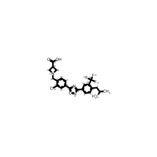 CC(C)Cc1ccc(-c2noc(-c3ccc(CN4CC(C(=O)O)C4)c(Cl)c3)n2)cc1C(F)(F)F